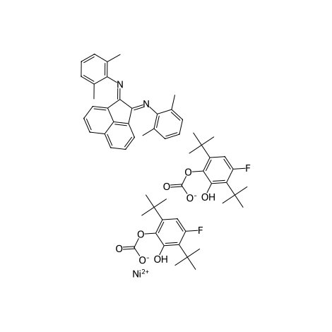 CC(C)(C)c1cc(F)c(C(C)(C)C)c(O)c1OC(=O)[O-].CC(C)(C)c1cc(F)c(C(C)(C)C)c(O)c1OC(=O)[O-].Cc1cccc(C)c1N=C1C(=Nc2c(C)cccc2C)c2cccc3cccc1c23.[Ni+2]